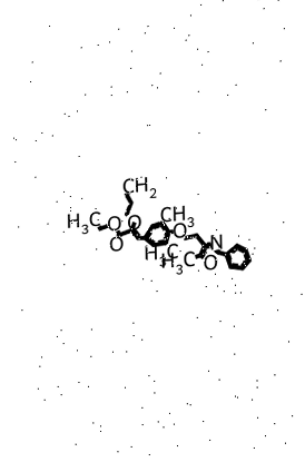 C=CCCOC(=Cc1cc(C)c(OCCc2nc(-c3ccccc3)oc2C)c(C)c1)C(=O)OCC